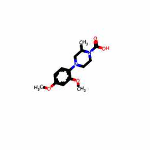 COc1ccc(N2CCN(C(=O)O)C(C)C2)c(OC)c1